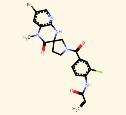 C=CC(=O)Nc1ccc(C(=O)N2CCC3(C2)Nc2ncc(Br)cc2N(C)C3=O)cc1F